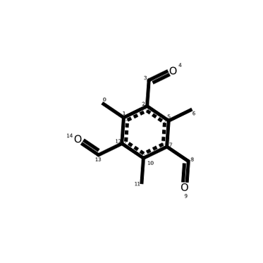 Cc1c(C=O)c(C)c(C=O)c(C)c1C=O